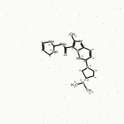 Cc1nc2n(c1C(=O)NC1NC=CCN1)NC(N1CC[C@H](N(C)C)C1)C=C2